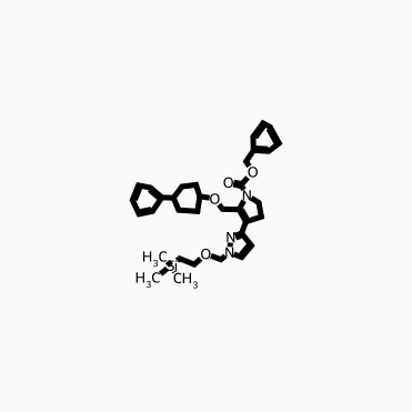 C[Si](C)(C)CCOCn1ccc(C2=C(COC3CCC(c4ccccc4)CC3)N(C(=O)OCc3ccccc3)CC2)n1